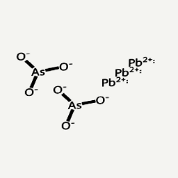 [O-][As]([O-])[O-].[O-][As]([O-])[O-].[Pb+2].[Pb+2].[Pb+2]